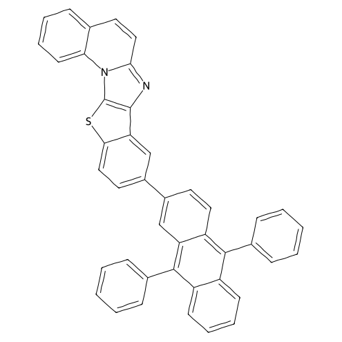 c1ccc(-c2c3ccccc3c(-c3ccccc3)c3cc(-c4ccc5sc6c(nc7ccc8ccccc8n76)c5c4)ccc23)cc1